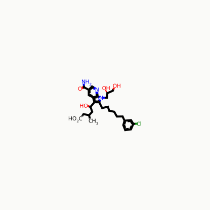 CC(CC(=O)O)CC(O)c1c(CCCCCCc2cccc(Cl)c2)n(C[C@@H](O)CO)c2ncc(C(N)=O)cc12